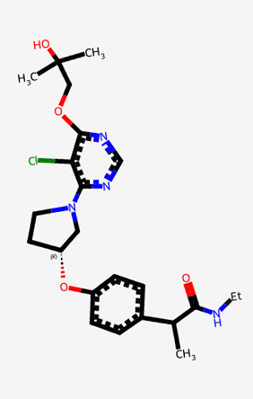 CCNC(=O)C(C)c1ccc(O[C@@H]2CCN(c3ncnc(OCC(C)(C)O)c3Cl)C2)cc1